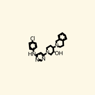 O[C@H]1CN(c2cc(Nc3ccc(Cl)cc3)ncn2)CCC1N1CCc2ccccc2C1